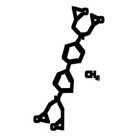 C.c1cc(N(CC2CO2)CC2CO2)ccc1-c1ccc(N(CC2CO2)CC2CO2)cc1